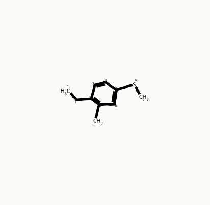 CCc1ccc(SC)cc1C